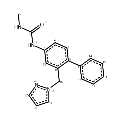 CNC(=O)Nc1ccc(-c2ccccc2)c(Cn2cccn2)c1